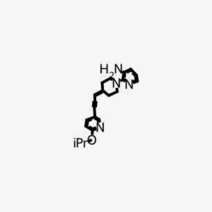 CC(C)Oc1ccc(C#CC=C2CCN(c3ncccc3N)CC2)cn1